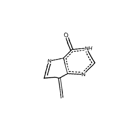 C=C1C=Nc2c1nc[nH]c2=O